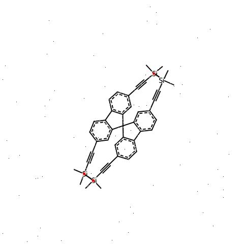 C[Si](C)(C)C#Cc1ccc2c(c1)C1(c3cc(C#C[Si](C)(C)C)ccc3-2)c2cc(C#C[Si](C)(C)C)ccc2-c2ccc(C#C[Si](C)(C)C)cc21